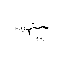 C=CCNC(C)C(=O)O.[SiH4]